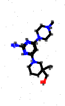 CCCC1(CO)CCCN(c2cc(N3CCN(C)CC3)nc(N)n2)C1